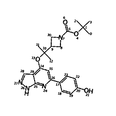 CC(C)(C)OC(=O)N1CC(C(C)(C)Oc2cc(-c3ccc(O)cc3)nc3[nH]ncc23)C1